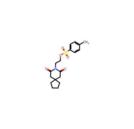 Cc1ccc(S(=O)(=O)OCCN2C(=O)CC3(CCCC3)CC2=O)cc1